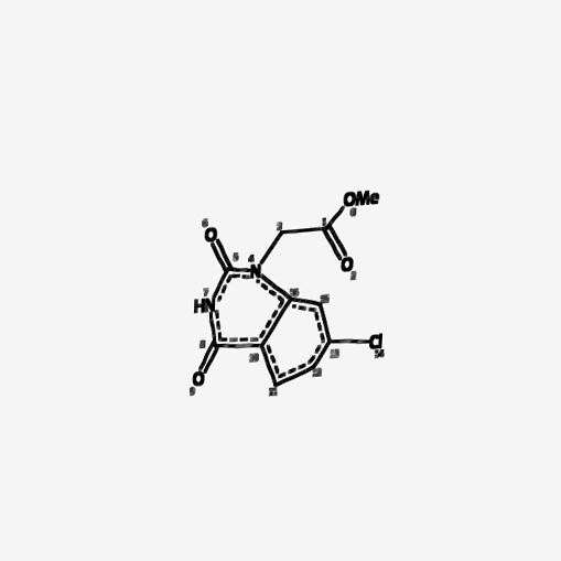 COC(=O)Cn1c(=O)[nH]c(=O)c2ccc(Cl)cc21